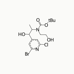 CC(C(O)c1cc(Cl)nc(Br)c1)N(CCO)C(=O)OC(C)(C)C